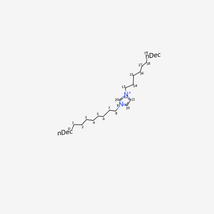 CCCCCCCCCCCCCCCCCCn1cc[n+](CCCCCCCCCCCCCCCC)c1